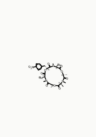 CCC(C)[C@H]1C(=O)O[C@H](Cc2ccc([N+](=O)[O-])cc2)C(=O)N(C)[C@@H](C(C)CC)C(=O)O[C@H](C)C(=O)N(C)[C@@H](C)C(=O)O[C@H](C)C(=O)N1C